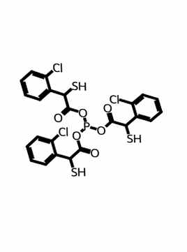 O=C(OP(OC(=O)C(S)c1ccccc1Cl)OC(=O)C(S)c1ccccc1Cl)C(S)c1ccccc1Cl